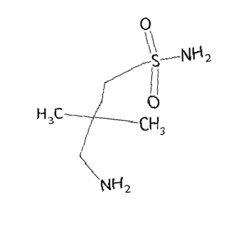 CC(C)(CN)CS(N)(=O)=O